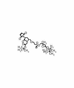 CC(C)(CCO[Si](C)(C)C(C)(C)C)COS(=O)(=O)CCOC[C@@H]1C[C@H](N2C(=O)C=CC2=O)C(=O)N1CC(=O)OC(C)(C)C